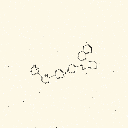 c1cncc(-c2cccc(-c3ccc(-c4ccc(-c5nc6ccccc6c6c5ccc5ccccc56)cc4)cc3)n2)c1